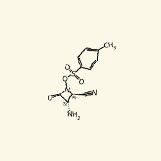 Cc1ccc(S(=O)(=O)ON2C(=O)[C@@H](N)[C@@H]2C#N)cc1